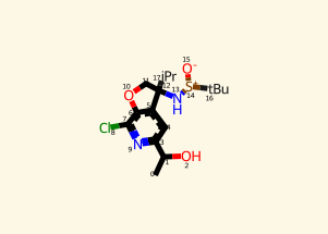 CC(O)c1cc2c(c(Cl)n1)OCC2(N[S+]([O-])C(C)(C)C)C(C)C